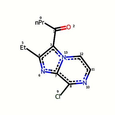 CCCC(=O)c1c(CC)nc2c(Cl)nccn12